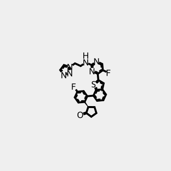 O=C1CCC[C@@H]1c1ccc(F)cc1-c1cccc2cc(-c3nc(NCCn4ccnn4)ncc3F)sc12